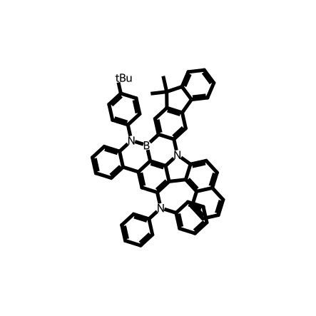 CC(C)(C)c1ccc(N2B3c4cc5c(cc4-n4c6ccc7ccccc7c6c6c(N(c7ccccc7)c7ccccc7)cc(c3c64)-c3ccccc32)-c2ccccc2C5(C)C)cc1